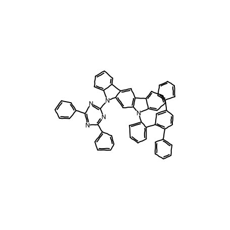 c1ccc(-c2ccc(-c3ccccc3)c(-c3ccccc3-n3c4ccccc4c4cc5c6ccccc6n(-c6nc(-c7ccccc7)nc(-c7ccccc7)n6)c5cc43)c2)cc1